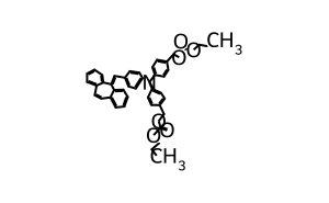 CCCOC(=O)OCc1ccc(N(c2ccc(C=C3c4ccccc4C=Cc4ccccc43)cc2)c2ccc(COC(=O)OCCC)cc2)cc1